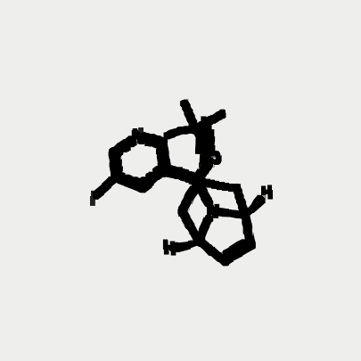 CC(C)(C)OC(=O)N1[C@@H]2C=C[C@H]1C[C@](C#N)(c1cncc(I)c1)C2